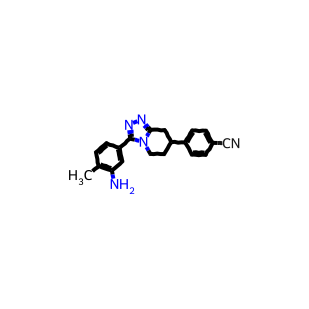 Cc1ccc(-c2nnc3n2CCC(c2ccc(C#N)cc2)C3)cc1N